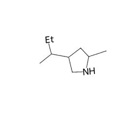 CCC(C)C1CNC(C)C1